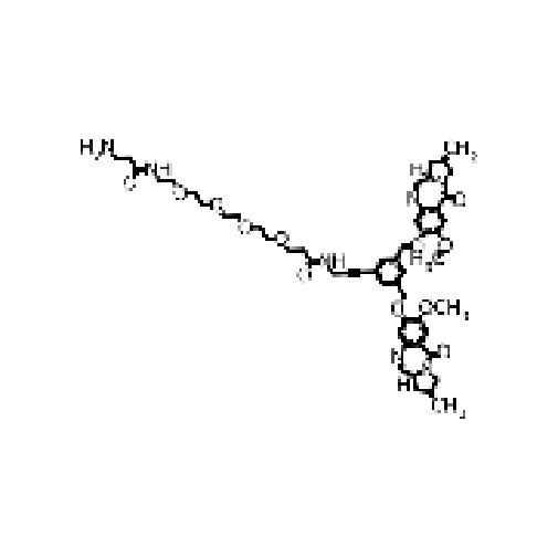 C=C1C[C@H]2C=Nc3cc(OCc4cc(C#CCNC(=O)CCOCCOCCOCCOCCNC(=O)CCN)cc(COc5cc6c(cc5OC)C(=O)N5CC(=C)C[C@H]5C=N6)c4)c(OC)cc3C(=O)N2C1